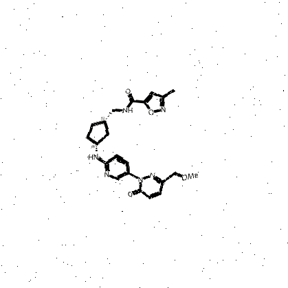 COCc1ccc(=O)n(-c2ccc(N[C@@H]3CC[C@H](CNC(=O)c4cc(C)no4)C3)nc2)n1